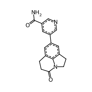 NC(=O)c1cncc(-c2cc3c4c(c2)CCN4C(=O)CC3)c1